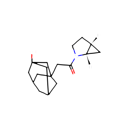 O=C(CC12CC3CC(CC(O)(C3)C1)C2)N1CC[C@@H]2C[C@@H]21